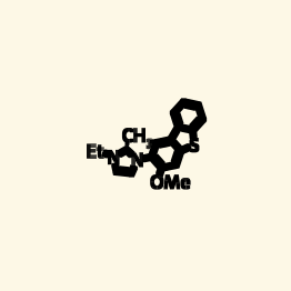 CCN1C=CN(c2cc3c(cc2OC)sc2ccccc23)[C@H]1C